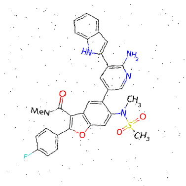 CNC(=O)c1c(-c2ccc(F)cc2)oc2cc(N(C)S(C)(=O)=O)c(-c3cnc(N)c(-c4cc5ccccc5[nH]4)c3)cc12